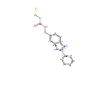 O=C(CCS)OCc1ccc2[nH]c(-c3ccccc3)nc2c1